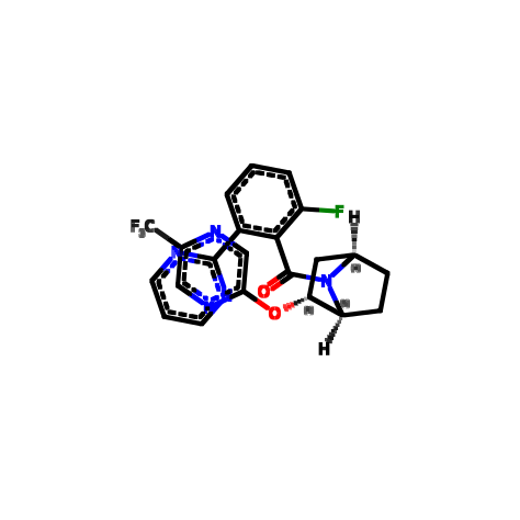 O=C(c1c(F)cccc1-c1ncccn1)N1[C@@H]2CC[C@H]1[C@H](Oc1cnc(C(F)(F)F)cn1)C2